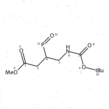 COC(=O)CC(CNC(=O)OC(C)(C)C)P=O